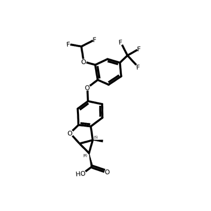 C[C@]12c3ccc(Oc4ccc(C(F)(F)F)cc4OC(F)F)cc3OC1[C@@H]2C(=O)O